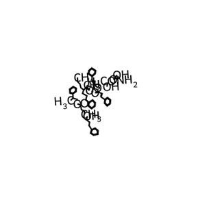 CC(=O)O.CCCC(=O)OCC(C)c1ccccc1.CCCCC(CCCc1ccccc1)C(=O)O.NC(=O)O.O=C(C=Cc1ccccc1)OCCCc1ccccc1.OCCCc1ccccc1